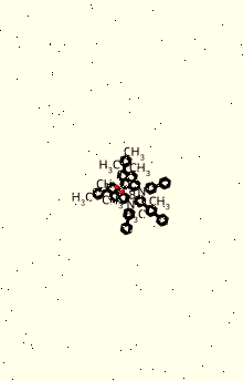 Cc1cc(C)c(-c2ccc3ccc4c5c(cc6ccc2c3c64)N(c2ccc(-c3ccccc3)cc2)c2cc(-c3c(C)cc(-c4ccccc4)cc3C)cc3c2B5c2c(cc4ccc5c(-c6c(C)cc(C)cc6C)ccc6ccc2c4c65)N3c2ccc(-c3ccccc3)cc2)c(C)c1